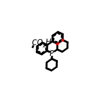 CC(=O)O.c1ccc(-c2ccccc2P(C2CCCCC2)C2CCCCC2)cc1